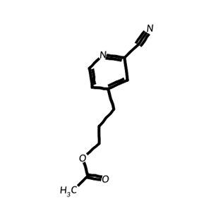 CC(=O)OCCCc1ccnc(C#N)c1